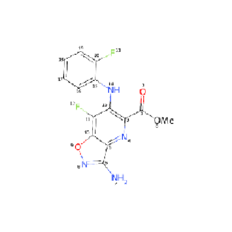 COC(=O)c1nc2c(N)noc2c(F)c1Nc1ccccc1F